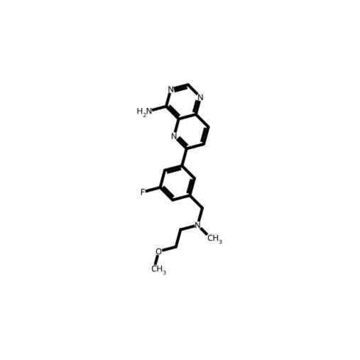 COCCN(C)Cc1cc(F)cc(-c2ccc3ncnc(N)c3n2)c1